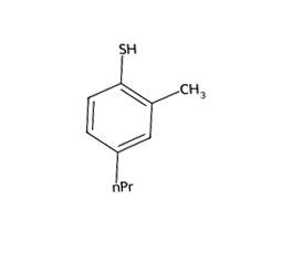 CCCc1ccc(S)c(C)c1